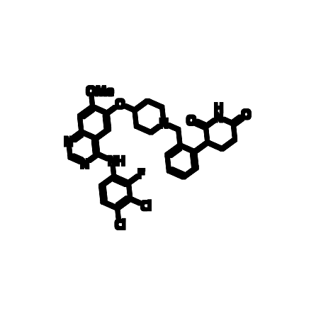 COc1cc2ncnc(Nc3ccc(Cl)c(Cl)c3F)c2cc1OC1CCN(Cc2ccccc2C2CCC(=O)NC2=O)CC1